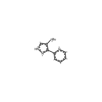 CCCCc1c[nH]nc1-c1ccccn1